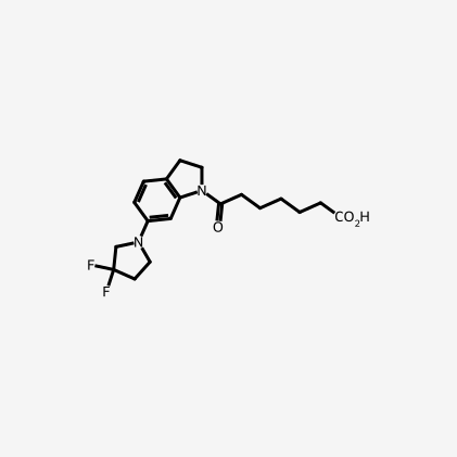 O=C(O)CCCCCC(=O)N1CCc2ccc(N3CCC(F)(F)C3)cc21